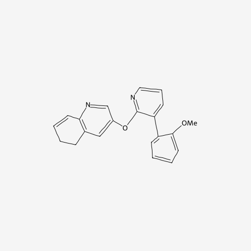 COc1ccccc1-c1cccnc1Oc1cnc2c(c1)CCC=C2